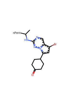 CCCCCC(C)Nc1ncc2c(Br)cc(C3CCC(=O)CC3)n2n1